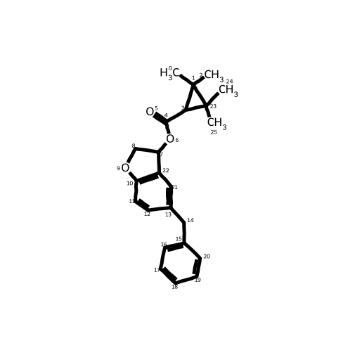 CC1(C)C(C(=O)OC2COc3ccc(Cc4ccccc4)cc32)C1(C)C